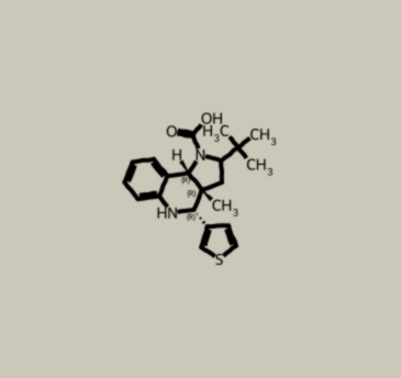 CC(C)(C)C1C[C@@]2(C)[C@H](c3ccccc3N[C@H]2c2ccsc2)N1C(=O)O